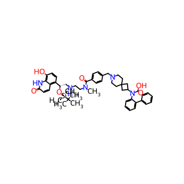 CN(CCNC[C@H](O[Si](C)(C)C(C)(C)C)c1ccc(O)c2[nH]c(=O)ccc12)C(=O)c1ccc(CN2CCC3(CC2)CC(N(C(=O)O)c2ccccc2-c2ccccc2)C3)cc1